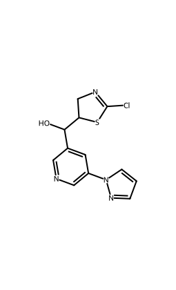 OC(c1cncc(-n2cccn2)c1)C1CN=C(Cl)S1